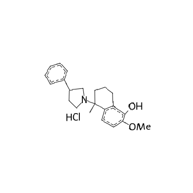 COc1ccc2c(c1O)CCCC2(C)N1CCC(c2ccccc2)C1.Cl